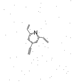 C#Cc1cc(C=C)nc(C=C)c1